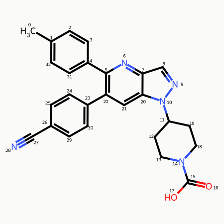 Cc1ccc(-c2nc3cnn(C4CCN(C(=O)O)CC4)c3cc2-c2ccc(C#N)cc2)cc1